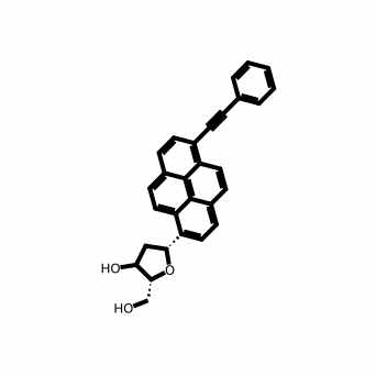 OC[C@H]1O[C@@H](c2ccc3ccc4c(C#Cc5ccccc5)ccc5ccc2c3c54)CC1O